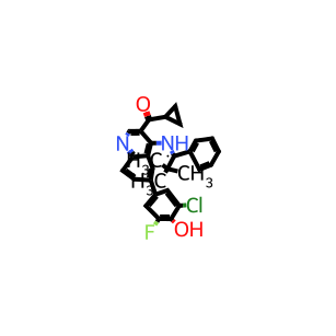 CC(C)(C)[C](Nc1c(C(=O)C2CC2)cnc2ccc(-c3cc(F)c(O)c(Cl)c3)cc12)c1ccccc1